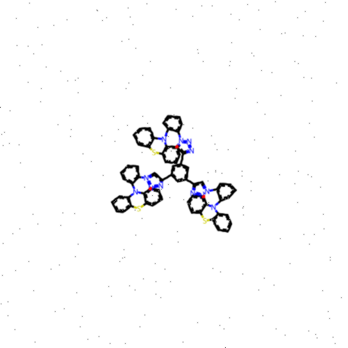 c1ccc2c(c1)Sc1ccccc1N2c1ccccc1-n1cc(-c2cc(-c3cn(-c4ccccc4N4c5ccccc5Sc5ccccc54)nn3)cc(-c3cn(-c4ccccc4N4c5ccccc5Sc5ccccc54)nn3)c2)nn1